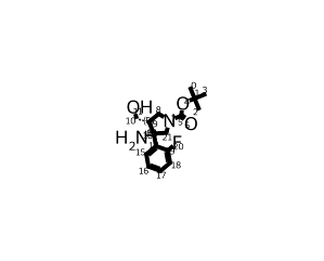 CC(C)(C)OC(=O)N1C[C@@H](CO)[C@](N)(c2ccccc2F)C1